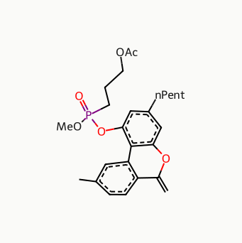 C=C1Oc2cc(CCCCC)cc(OP(=O)(CCCOC(C)=O)OC)c2-c2cc(C)ccc21